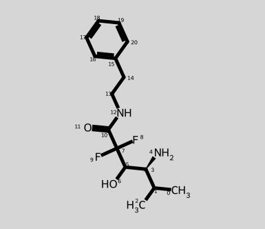 CC(C)[C@H](N)C(O)C(F)(F)C(=O)NCCc1ccccc1